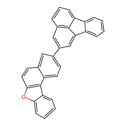 c1ccc2c(c1)-c1cccc3cc(-c4ccc5c(ccc6oc7ccccc7c65)c4)cc-2c13